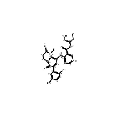 CCC(CO)NC(=O)c1cncnc1Nc1cc(-c2cc(Cl)ccc2F)c(=O)n2c1N(C)C(=O)CC2